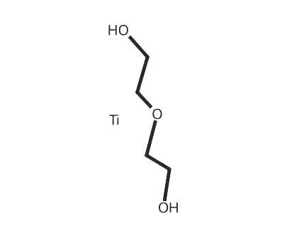 OCCOCCO.[Ti]